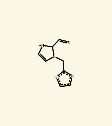 S=CC1NC=CN1Cc1nccs1